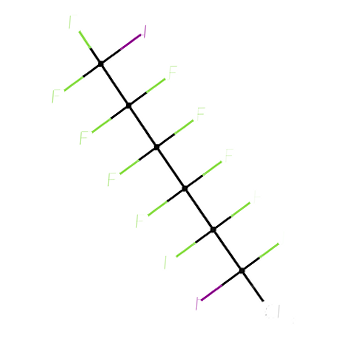 FC(F)(F)C(F)(I)C(F)(F)C(F)(F)C(F)(F)C(F)(F)C(F)(F)I